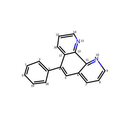 [c]1ccc(-c2cc3cccnc3c3ncccc23)cc1